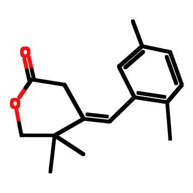 Cc1ccc(C)c(C=C2CC(=O)OCC2(C)C)c1